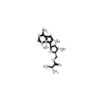 C[C@H](N)C(=O)OC[C@H]1O[C@@](C#N)(c2ccc3c(N)ncnn23)[C@H](O)[C@@H]1O